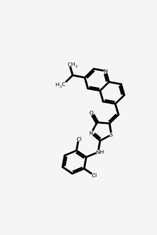 CC(C)c1cnc2ccc(C=C3SC(Nc4c(Cl)cccc4Cl)=NC3=O)cc2c1